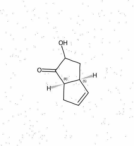 O=C1C(O)C[C@H]2C=CC[C@@H]12